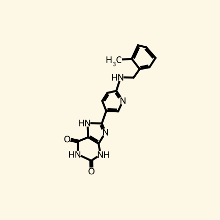 Cc1ccccc1CNc1ccc(-c2nc3[nH]c(=O)[nH]c(=O)c3[nH]2)cn1